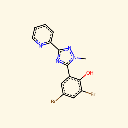 Cn1nc(-c2ccccn2)nc1-c1cc(Br)cc(Br)c1O